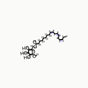 CC/C=C\C/C=C\C/C=C\CCCCCCCC(=O)OC[C@H]1OC(OC)[C@H](O)[C@@H](O)[C@@H]1O